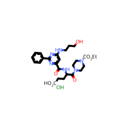 CCOC(=O)N1CCN(C(=O)C(CCC(=O)O)NC(=O)c2cc(NCCCO)nc(-c3ccccc3)n2)CC1.Cl